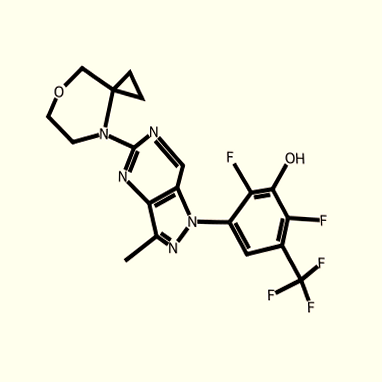 Cc1nn(-c2cc(C(F)(F)F)c(F)c(O)c2F)c2cnc(N3CCOCC34CC4)nc12